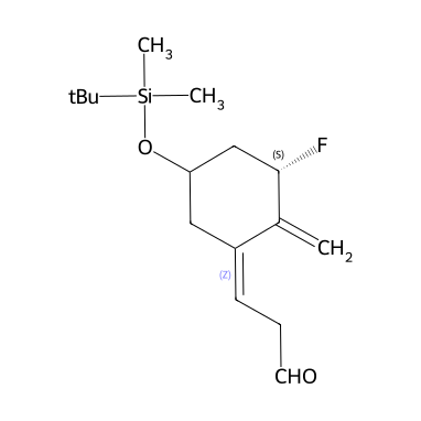 C=C1/C(=C\CC=O)CC(O[Si](C)(C)C(C)(C)C)C[C@@H]1F